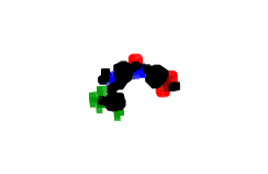 CCS(=O)(=O)c1ccc(CNC(=O)c2ccc3c(c2)cc(Cc2ccc(F)cc2C(F)(F)F)n3C(C)C)cc1